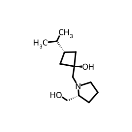 CC(C)[C@H]1C[C@@](O)(CN2CCC[C@@H]2CO)C1